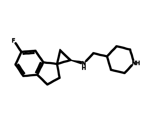 Fc1ccc2c(c1)C1(CC2)C[C@H]1NCC1CCNCC1